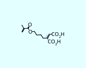 C=C(C)C(=O)OCCCC/C(=C/C(=O)O)C(=O)O